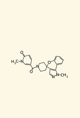 Cn1ncc2c1-c1ccccc1OC21CCN(C(=O)c2ccc(=O)n(C)c2)CC1